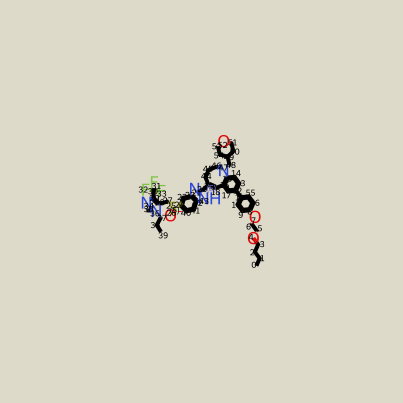 CCCCOCCOc1ccc(-c2ccc3c(c2)/C=C(/c2nc4cc([S@+]([O-])Cc5c(C(F)(F)F)ncn5CCC)ccc4[nH]2)CCCN3CC2CCOCC2)cc1